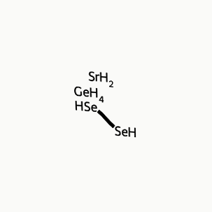 [GeH4].[SeH][SeH].[SrH2]